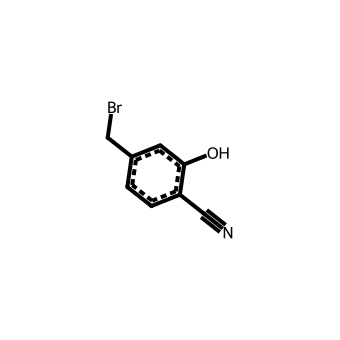 N#Cc1ccc(CBr)cc1O